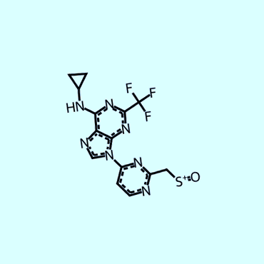 O=[S+]Cc1nccc(-n2cnc3c(NC4CC4)nc(C(F)(F)F)nc32)n1